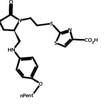 CCCCCOc1ccc(NC[C@H]2CCC(=O)N2CCSc2nc(C(=O)O)cs2)cc1